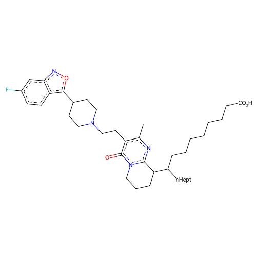 CCCCCCCC(CCCCCCCC(=O)O)C1CCCn2c1nc(C)c(CCN1CCC(c3onc4cc(F)ccc34)CC1)c2=O